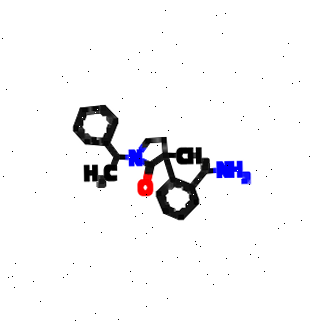 CC(c1ccccc1)N1CCC(C)(c2ccccc2CN)C1=O